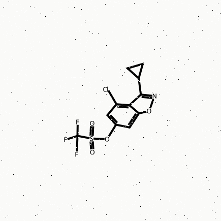 O=S(=O)(Oc1cc(Cl)c2c(C3CC3)noc2c1)C(F)(F)F